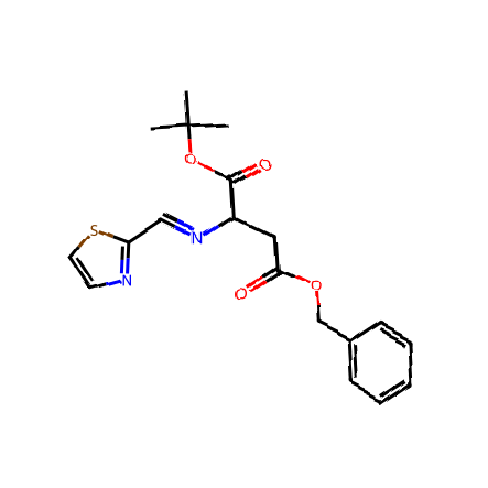 CC(C)(C)OC(=O)C(CC(=O)OCc1ccccc1)N=Cc1nccs1